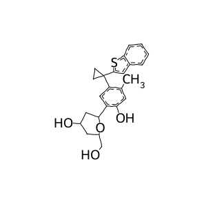 Cc1cc(O)c(C2CC(O)CC(CO)O2)cc1C1(c2cc3ccccc3s2)CC1